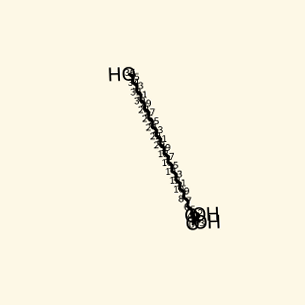 O=P(O)(O)OCCCCCCCCCCCCCCCCCCCCCCCCCCCCCCCO